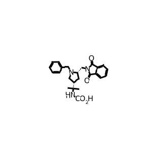 CC(C)(NC(=O)O)[C@H]1C[C@@H](CN2C(=O)c3ccccc3C2=O)N(Cc2ccccc2)C1